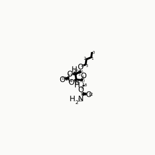 CCCCO[C@@H]1O[C@H](COC(N)=O)[C@H]2OC(=O)O[C@@H]12